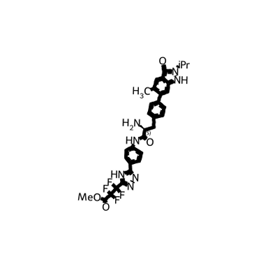 COC(=O)C(F)(F)C(F)(F)c1nnc(-c2ccc(NC(=O)[C@@H](N)Cc3ccc(-c4cc5[nH]n(C(C)C)c(=O)c5cc4C)cc3)cc2)[nH]1